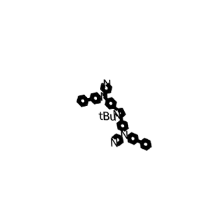 CC(C)(C)n1c(-c2ccc(N(c3ccncc3)c3ccc(-c4ccccc4)cc3)cc2)ccc1-c1ccc(N(c2ccncc2)c2ccc(-c3ccccc3)cc2)cc1